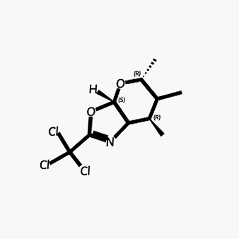 CC1[C@@H](C)C2N=C(C(Cl)(Cl)Cl)O[C@@H]2O[C@@H]1C